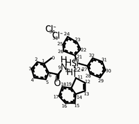 Cc1ccccc1C(=O)[NH][Hf+2]([CH]1C=Cc2ccccc21)[SiH](c1ccccc1)c1ccccc1.[Cl-].[Cl-]